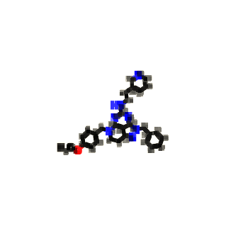 COc1ccc(CN2CCc3nn(Cc4ccccc4)c4nc(NCCc5cccnc5)nc2c34)cc1